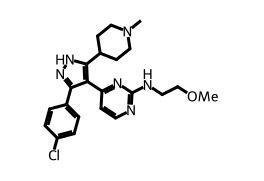 COCCNc1nccc(-c2c(-c3ccc(Cl)cc3)n[nH]c2C2CCN(C)CC2)n1